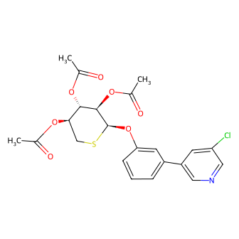 CC(=O)O[C@@H]1[C@@H](OC(C)=O)[C@@H](Oc2cccc(-c3cncc(Cl)c3)c2)SC[C@H]1OC(C)=O